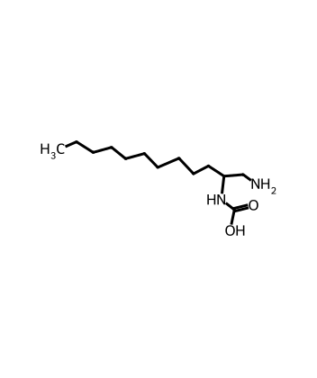 CCCCCCCCCCC(CN)NC(=O)O